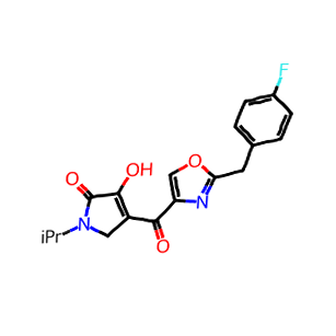 CC(C)N1CC(C(=O)c2coc(Cc3ccc(F)cc3)n2)=C(O)C1=O